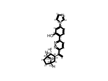 C=C(c1ccc(-c2ccc(-n3ccnc3)cc2O)nn1)[C@H]1C[C@@H]2CC[C@@H](N2)[C@@H]1F